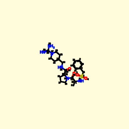 C[C@H](NS(=O)(=O)Cc1ccccc1)C(=O)N1CCC[C@H]1C(=O)NCC1CCN(C(=N)N)CC1